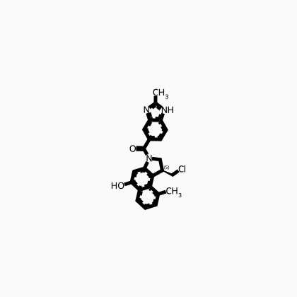 Cc1nc2cc(C(=O)N3C[C@@H](CCl)c4c3cc(O)c3cccc(C)c43)ccc2[nH]1